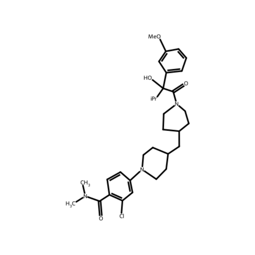 COc1cccc(C(O)(C(=O)N2CCC(CC3CCN(c4ccc(C(=O)N(C)C)c(Cl)c4)CC3)CC2)C(C)C)c1